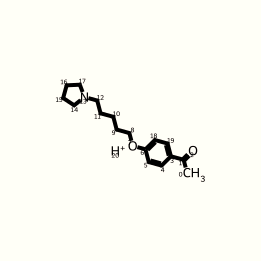 CC(=O)c1ccc(OCCCCCN2CCCC2)cc1.[H+]